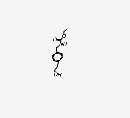 CCOC(=O)NCc1ccc(CCO)cc1